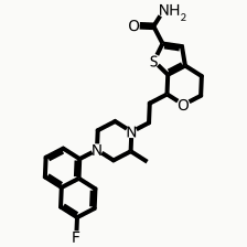 CC1CN(c2cccc3cc(F)ccc23)CCN1CCC1OCCc2cc(C(N)=O)sc21